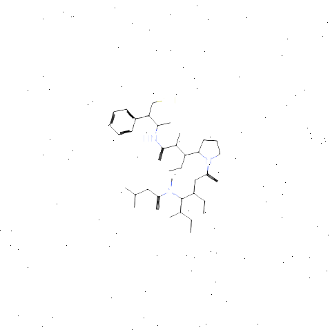 C=C(NC(C)C(CS)c1ccccc1)C(C)C(CC)C1CCCN1C(=C)CC(CC)C(C(C)CC)N(C)C(=C)CC(C)C